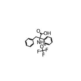 NC(Cc1ccccc1)(C(=O)O)c1ccccc1OC(F)(F)F